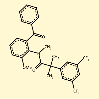 COc1cccc(C(=O)c2ccccc2)c1N(C)C(=O)C(C)(C)c1cc(C(F)(F)F)cc(C(F)(F)F)c1